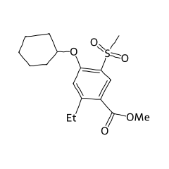 CCc1cc(OC2CCCCC2)c(S(C)(=O)=O)cc1C(=O)OC